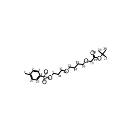 Cc1ccc(S(=O)(=O)OCCCOCCCCOCC(=O)OC(C)(C)C)cc1